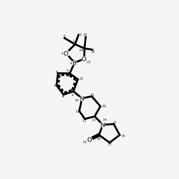 CC1(C)OB(c2cccc(N3CCC(N4CCCC4=O)CC3)c2)OC1(C)C